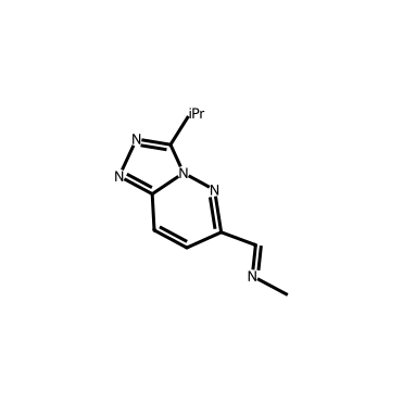 C/N=C/c1ccc2nnc(C(C)C)n2n1